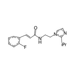 CC(C)c1nccn1CCNC(=O)/C=C/c1ccccc1F